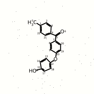 Cc1ccc(C(=O)c2ccc(Oc3ccc(O)cc3)cc2)cc1